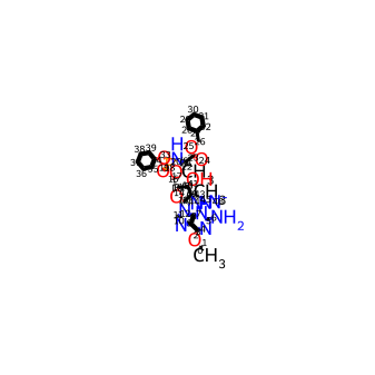 CCOc1nc(N)nc2c1ncn2[C@@H]1O[C@H](COP(=O)(N[C@@H](C)C(=O)OCc2ccccc2)Oc2ccccc2)[C@@H](O)[C@@]1(C)N=[N+]=[N-]